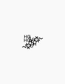 CCCN1C(C)(C)CC2(CC1(C)C)OC[C@@H]1OC3(CC(C)(C)N(CCC)C(C)(C)C3)O[C@H]([C@H](O)CO)[C@@H]1O2